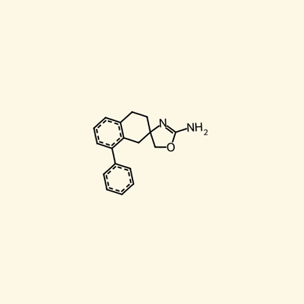 NC1=NC2(CCc3cccc(-c4ccccc4)c3C2)CO1